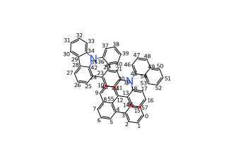 c1ccc(-c2cccc3cccc(-c4ccccc4N(c4ccc(-c5cccc6c7ccccc7n(-c7ccccc7)c56)cc4)c4cccc5ccccc45)c23)cc1